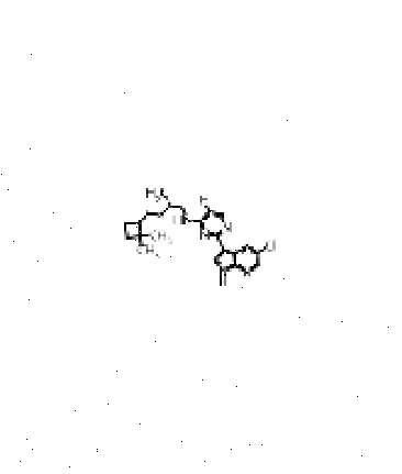 CC(CCC1CCC1(C)C)CNc1nc(-c2c[nH]c3ncc(Cl)cc23)ncc1F